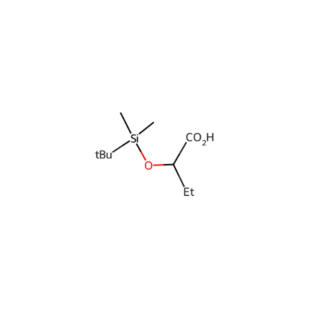 CCC(O[Si](C)(C)C(C)(C)C)C(=O)O